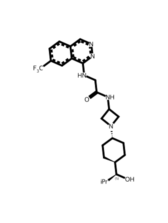 CC(C)[C@H](O)[C@H]1CC[C@H](N2CC(NC(=O)CNc3nncc4ccc(C(F)(F)F)cc34)C2)CC1